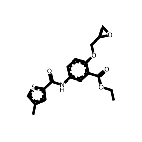 CCOC(=O)c1cc(NC(=O)c2cc(C)cs2)ccc1OCC1CO1